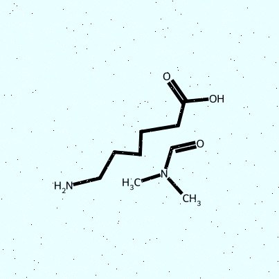 CN(C)C=O.NCCCCCC(=O)O